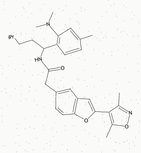 Cc1ccc(C(CCC(C)C)NC(=O)Cc2ccc3oc(-c4c(C)noc4C)cc3c2)c(N(C)C)c1